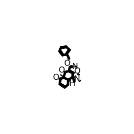 CN(C)C1(C)c2onc(OCc3ccccc3)c2C(=O)[C@@]2(C)C(=O)C=CC[C@@H]12